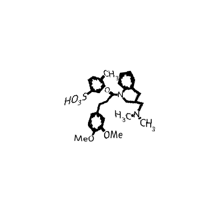 COc1ccc(CCC(=O)N2CC(CN(C)C)Cc3ccccc32)cc1OC.Cc1ccc(S(=O)(=O)O)cc1